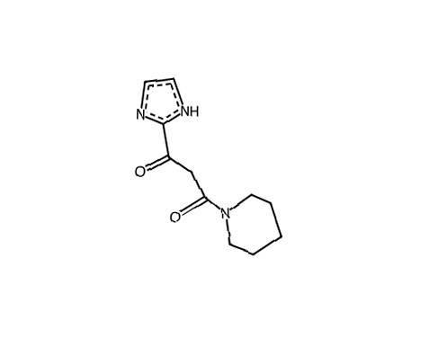 O=C(CC(=O)N1CCCCC1)c1ncc[nH]1